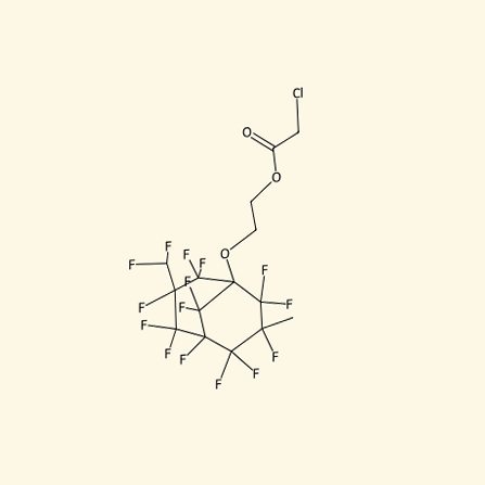 CC1(F)C(F)(F)C2(F)C(F)(F)C(F)(C(F)F)C(F)(F)C(OCCOC(=O)CCl)(C1(F)F)C2(F)F